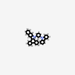 c1cc(-n2c3ccccc3c3ccccc32)cc(-n2c3cc4ccccc4cc3c3c4ccccc4c4ccccc4c32)c1